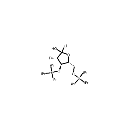 CC(C)[Si](OC[C@H]1OC(O)(Cl)[C@@H](F)[C@@H]1O[Si](C(C)C)(C(C)C)C(C)C)(C(C)C)C(C)C